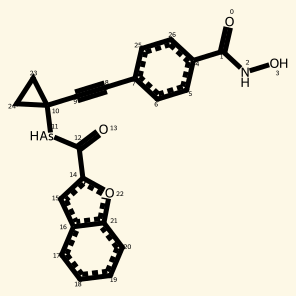 O=C(NO)c1ccc(C#CC2([AsH]C(=O)c3cc4ccccc4o3)CC2)cc1